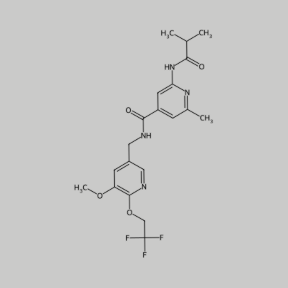 COc1cc(CNC(=O)c2cc(C)nc(NC(=O)C(C)C)c2)cnc1OCC(F)(F)F